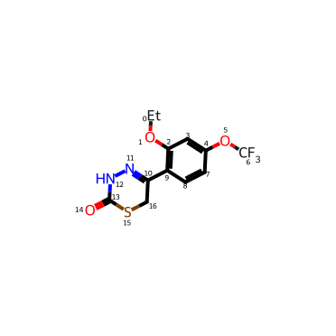 CCOc1cc(OC(F)(F)F)ccc1C1=NNC(=O)SC1